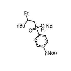 CCCCCCCCCc1ccc(P(=O)(O)CC(CC)CCCC)cc1.[Nd]